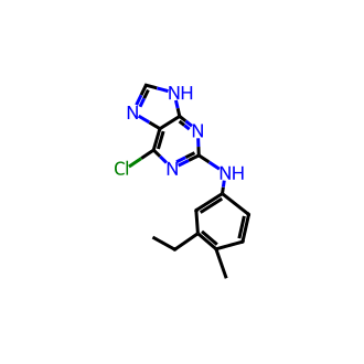 CCc1cc(Nc2nc(Cl)c3nc[nH]c3n2)ccc1C